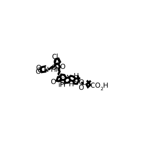 CC(C)C1=C2[C@H]3CC[C@@H]4[C@@]5(C)CC[C@H](OC(=O)[C@H]6C[C@@H](C(=O)O)C6(C)C)C(C)(C)[C@@H]5CC[C@@]4(C)[C@]3(C)CC[C@@]2(CCNC(=O)c2ccc(Cl)cc2OCCN2CCS(=O)(=O)CC2)CC1=O